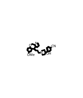 COc1ccc2c(c1)/C(=C/CCN1CCC(O)(c3ccc(C#N)cc3)CC1)c1cccnc1CO2